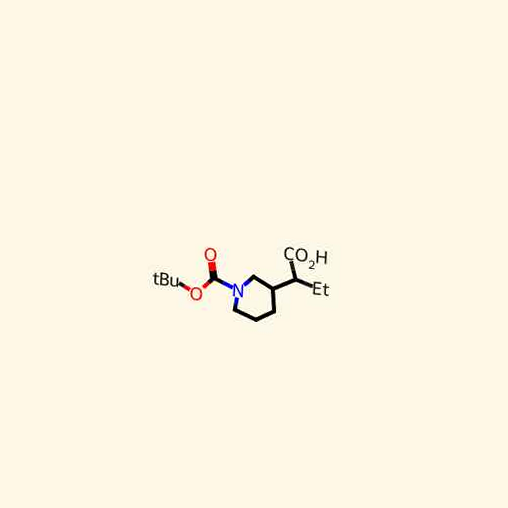 CCC(C(=O)O)C1CCCN(C(=O)OC(C)(C)C)C1